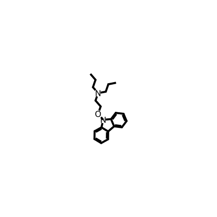 CCCN(CCC)CCOn1c2ccccc2c2ccccc21